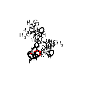 CC[C@H](C)[C@H](NC(=O)OC)C(=O)N1[C@H](c2nc3cc(C4=CCC[C@@H]5C(F)=C4CCc4cc(F)c5c(-c5cc6nc([C@@H]7C[C@@H]8CCCC[C@@H]8N7C(=O)[C@@H](NC(=O)OC)[C@@H](C)CC)[nH]c6cc5F)c4)c(F)cc3[nH]2)C[C@@H]2CCCC[C@@H]21